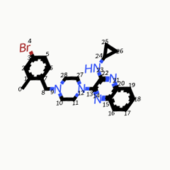 Cc1cc(Br)ccc1CN1CCN(c2nc3ccccc3nc2NC2CC2)CC1